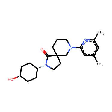 Cc1cc(C(F)(F)F)cc(N2CCCC3(CCN([C@H]4CC[C@H](O)CC4)C3=O)C2)n1